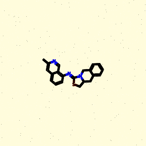 Cc1cc2cccc(N=C3SCC4Cc5ccccc5CN34)c2cn1